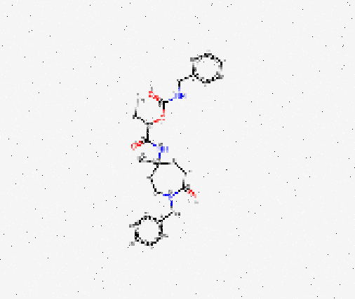 CC(C)CC(OC(=O)NCc1ccccc1)C(=O)NC1(C#N)CCC(=O)N(Cc2ccccc2)CC1